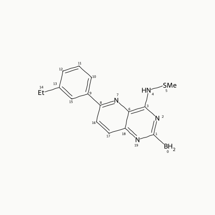 Bc1nc(NSC)c2nc(-c3cccc(CC)c3)ccc2n1